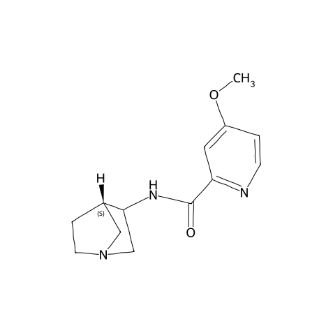 COc1ccnc(C(=O)NC2CN3CC[C@H]2C3)c1